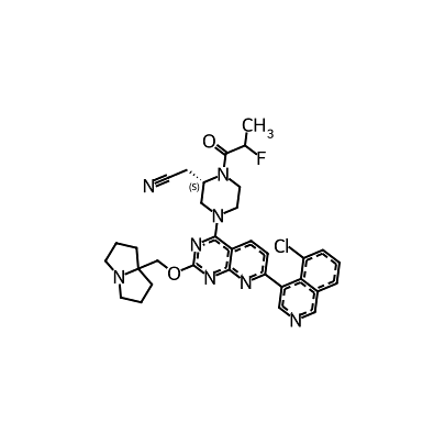 CC(F)C(=O)N1CCN(c2nc(OCC34CCCN3CCC4)nc3nc(-c4cncc5cccc(Cl)c45)ccc23)C[C@@H]1CC#N